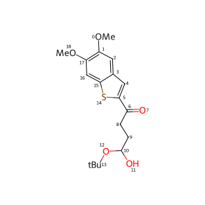 COc1cc2cc(C(=O)CCC(O)OC(C)(C)C)sc2cc1OC